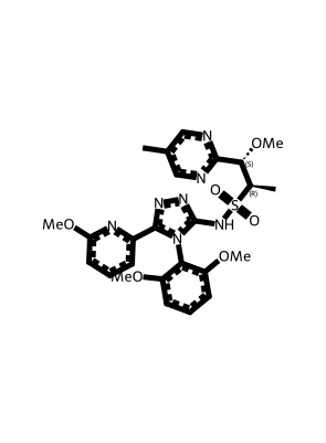 COc1cccc(-c2nnc(NS(=O)(=O)[C@H](C)[C@@H](OC)c3ncc(C)cn3)n2-c2c(OC)cccc2OC)n1